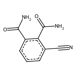 N#Cc1cccc(C(N)=O)c1C(N)=O